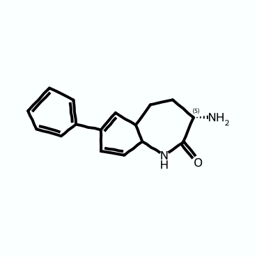 N[C@H]1CCC2C=C(c3ccccc3)C=CC2NC1=O